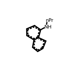 CCCNc1cccc2ccccc12